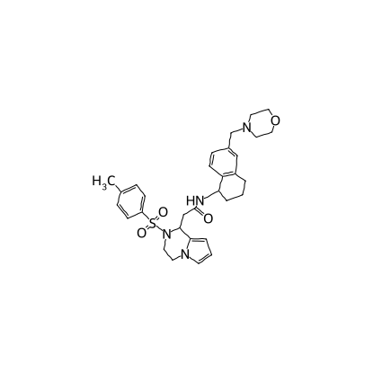 Cc1ccc(S(=O)(=O)N2CCn3cccc3C2CC(=O)NC2CCCc3cc(CN4CCOCC4)ccc32)cc1